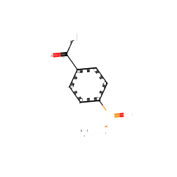 CO[PH](=O)c1ccc(C(=O)C(C)C)cc1